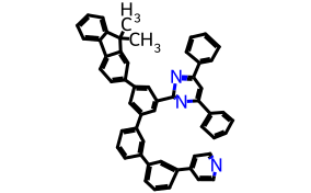 CC1(C)c2ccccc2-c2ccc(-c3cc(-c4cccc(-c5cccc(-c6ccncc6)c5)c4)cc(-c4nc(-c5ccccc5)cc(-c5ccccc5)n4)c3)cc21